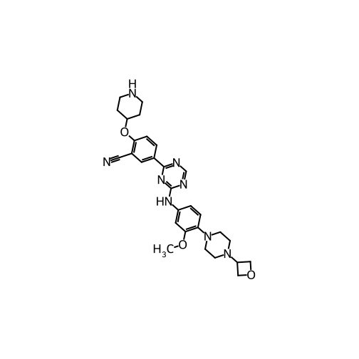 COc1cc(Nc2ncnc(-c3ccc(OC4CCNCC4)c(C#N)c3)n2)ccc1N1CCN(C2COC2)CC1